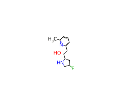 Cc1cccc(C[C@@H](O)[C@H]2C[C@@H](F)CN2)n1